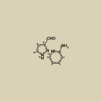 Nc1ccccn1.O=Cc1cc[nH]n1